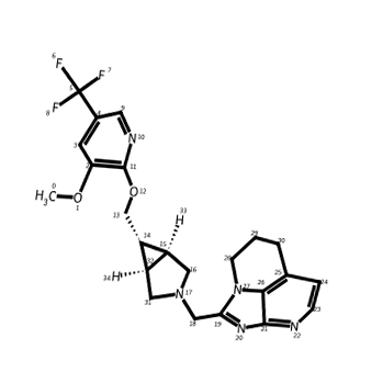 COc1cc(C(F)(F)F)cnc1OC[C@@H]1[C@H]2CN(Cc3nc4nccc5c4n3CCC5)C[C@@H]12